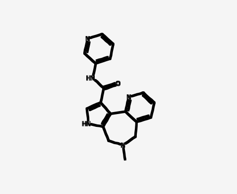 CN1Cc2cccnc2-c2c(C(=O)Nc3cccnc3)c[nH]c2C1